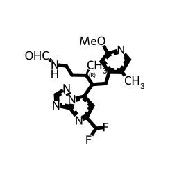 COc1cc(CC(c2cc(C(F)F)nc3ncnn23)[C@H](C)CCNC=O)c(C)cn1